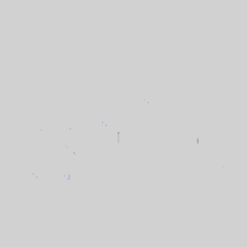 Cc1ccc(-c2cn(CC3CCOCC3)cc(C(=O)Nc3ccc(C4=C(O)C=CNC4N)cc3F)c2=O)cc1